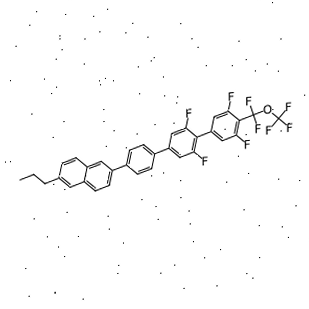 CCCc1ccc2cc(-c3ccc(-c4cc(F)c(-c5cc(F)c(C(F)(F)OC(F)(F)F)c(F)c5)c(F)c4)cc3)ccc2c1